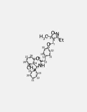 CCc1noc(C)c1COc1ccc(CC(=O)NC(c2ccccc2)c2ccccc2C)cc1